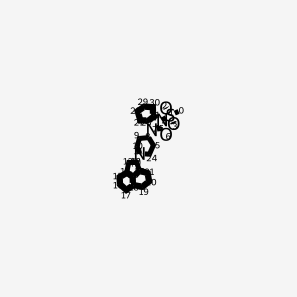 CS(=O)(=O)n1c(=O)n(C2CCN([C@@H]3Cc4cccc5cccc3c45)CC2)c2ccccc21